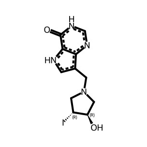 O=c1[nH]cnc2c(CN3C[C@@H](O)[C@H](I)C3)c[nH]c12